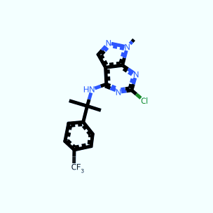 Cn1ncc2c(NC(C)(C)c3ccc(C(F)(F)F)cc3)nc(Cl)nc21